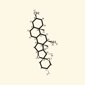 C[C@@H]1CC[C@@]2(OC1)OC1CC3C4CCC5C[C@@H](O)CC[C@]5(C)C4C[C@@H](N)[C@]3(C)C1[C@@H]2C